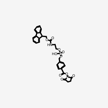 O=C(NCCOP(=O)(O)OCc1ccc(C(=O)ON2C(=O)CCC2=O)cc1)OCC1c2ccccc2-c2ccccc21